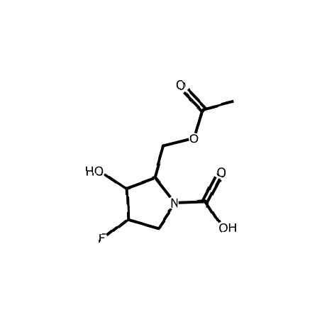 CC(=O)OCC1C(O)C(F)CN1C(=O)O